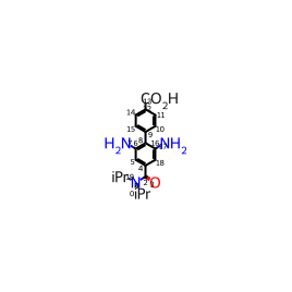 CC(C)N(C(=O)c1cc(N)c(-c2ccc(C(=O)O)cc2)c(N)c1)C(C)C